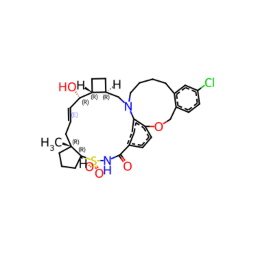 C[C@@]12C/C=C/[C@H](O)[C@@H]3CC[C@H]3CN3CCCCc4cc(Cl)ccc4COc4ccc(cc43)C(=O)NS(=O)(=O)[C@@H]1CCC2